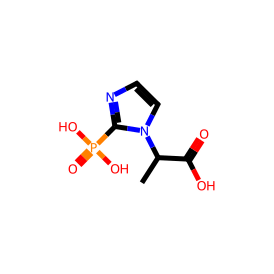 CC(C(=O)O)n1ccnc1P(=O)(O)O